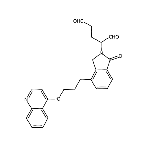 O=CCCC(C=O)N1Cc2c(CCCOc3ccnc4ccccc34)cccc2C1=O